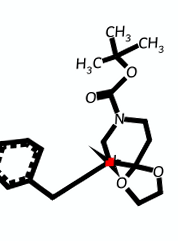 CC(C)(C)OC(=O)N1CCC2(OCCO2)C2(CCN(Cc3ccccc3)C2)C1